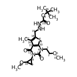 COCCn1c(=O)n(C2CC2OC)c(=O)c2c(C)c(CNNC(=O)OC(C)(C)C)sc21